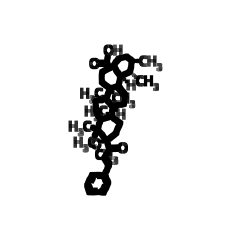 CO[C@@]1(C(=O)C=Cc2ccccc2)CC[C@@]2(C)C(CC[C@]3(C)[C@@H]2CC=C2[C@@H]4[C@@H](C)[C@H](C)CC[C@]4(C(=O)O)CC[C@]23C)C1(C)C